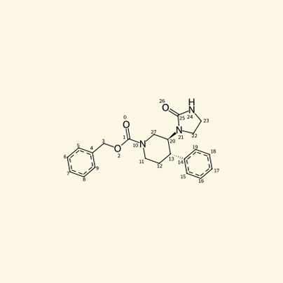 O=C(OCc1ccccc1)N1CC[C@@H](c2ccccc2)[C@H](N2CCNC2=O)C1